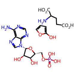 NC(CCC(=O)O)C(=O)O.Nc1ncnc2c1ncn2[C@@H]1O[C@H](COP(=O)(O)O)[C@@H](O)[C@H]1O.Oc1ccco1